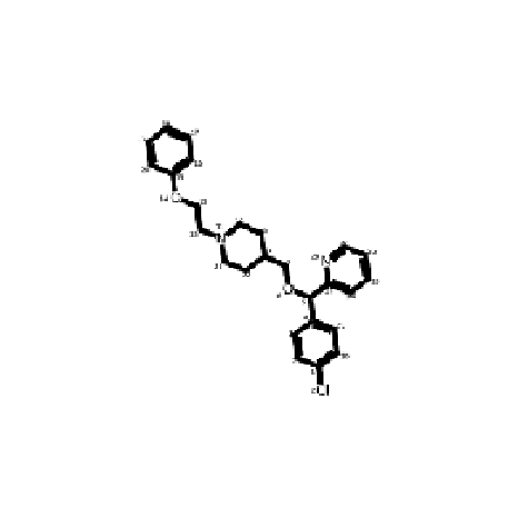 Clc1ccc(C(OCC2CCN(CCOc3ccccc3)CC2)c2ccccn2)cc1